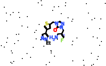 CCn1cc(-c2csc(Cn3cnn(C/C(=C/F)CN)c3=O)c2)cn1